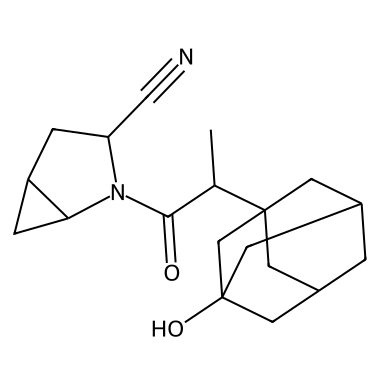 CC(C(=O)N1C(C#N)CC2CC21)C12CC3CC(CC(O)(C3)C1)C2